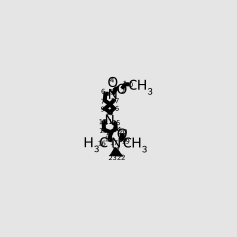 CCOC(=O)N1CCC2(CC(N3CCC(C(C)N(C(C)=O)C4CC4)CC3)C2)C1